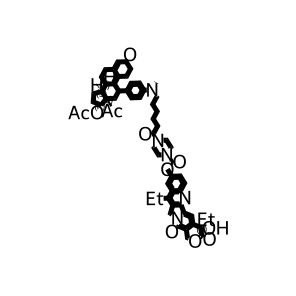 CCc1c2c(nc3ccc(OC(=O)N4CCN(C(=O)CCCCCN(C)c5ccc(C6C[C@@]7(C)[C@@H](CC[C@]7(OC(C)=O)C(C)=O)[C@@H]7CCC8=CC(=O)CCC8=C67)cc5)CC4)cc13)-c1cc3c(c(=O)n1C2)COC(=O)[C@]3(O)CC